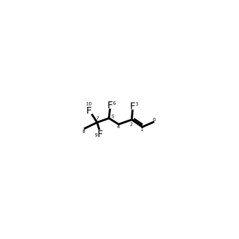 C/C=C(\F)CC(F)C(C)(F)F